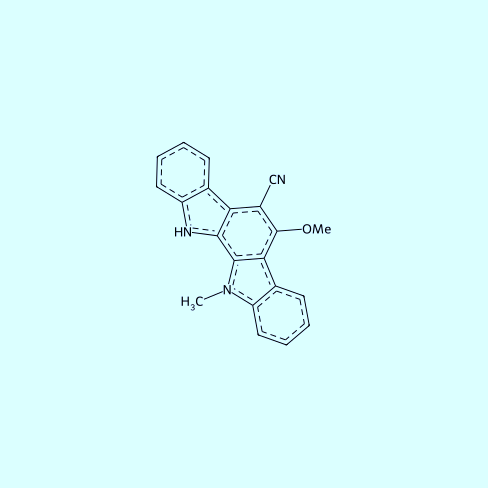 COc1c(C#N)c2c3ccccc3[nH]c2c2c1c1ccccc1n2C